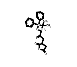 CC(C)(C)[Si](OCC(=S)CC1CC(=O)OC1=O)(c1ccccc1)c1ccccc1